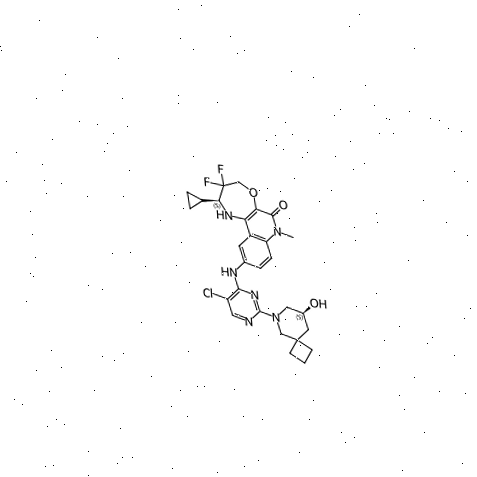 Cn1c(=O)c2c(c3cc(Nc4nc(N5C[C@@H](O)CC6(CCC6)C5)ncc4Cl)ccc31)N[C@@H](C1CC1)C(F)(F)CO2